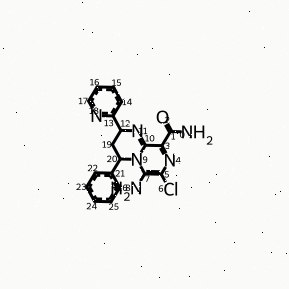 NC(=O)C1=NC(Cl)=C(N)N2C1=NC(c1ccccn1)CC2c1ccccc1